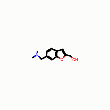 CN(C)Cc1ccc2cc(CO)oc2c1